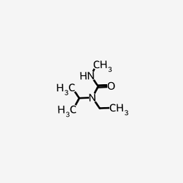 CCN(C(=O)NC)C(C)C